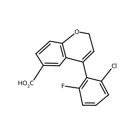 O=C(O)c1ccc2c(c1)C(c1c(F)cccc1Cl)=CCO2